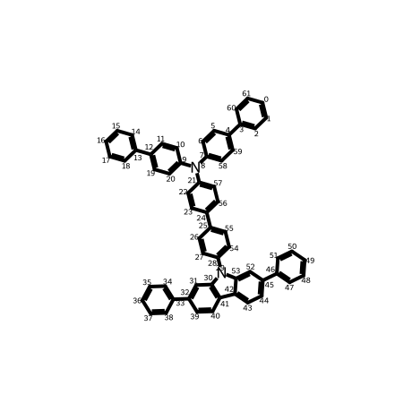 c1ccc(-c2ccc(N(c3ccc(-c4ccccc4)cc3)c3ccc(-c4ccc(-n5c6cc(-c7ccccc7)ccc6c6ccc(-c7ccccc7)cc65)cc4)cc3)cc2)cc1